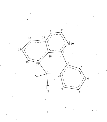 CC1(F)c2ccccc2-c2nccc3cccc1c23